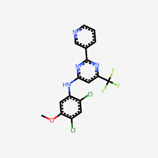 COc1cc(Nc2cc(C(F)(F)F)nc(-c3cccnc3)n2)c(Cl)cc1Cl